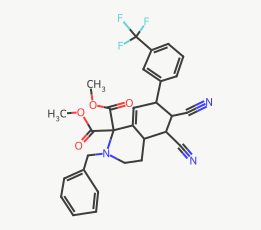 COC(=O)C1(C(=O)OC)C2=CC(c3cccc(C(F)(F)F)c3)C(C#N)C(C#N)C2CCN1Cc1ccccc1